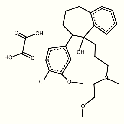 COCCN(C)CCCC1(O)c2ccccc2CCCC1c1ccc(Cl)c(OC)c1.O=C(O)C(=O)O